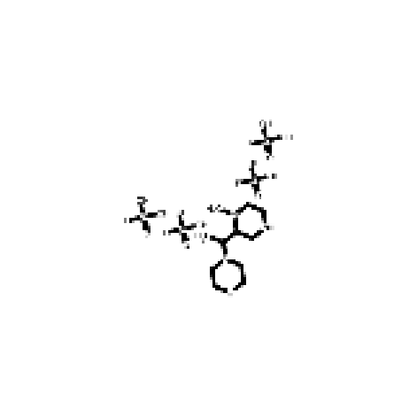 CC(C1CNCCN1C)N1CCOCC1.O=P(O)(O)F.O=P(O)(O)F.O=P(O)(O)F.O=P(O)(O)F